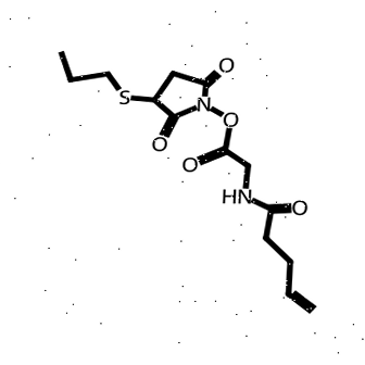 C=CCCC(=O)NCC(=O)ON1C(=O)CC(SCCC)C1=O